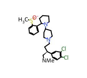 CNC[C@@H](CCN1CCC(N2CCCCC2c2ccccc2[S+](C)[O-])CC1)c1ccc(Cl)c(Cl)c1